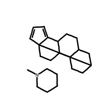 C1=CC23CCC4C(CCC5CC2CCC54)C3=C1.CN1CCCCC1